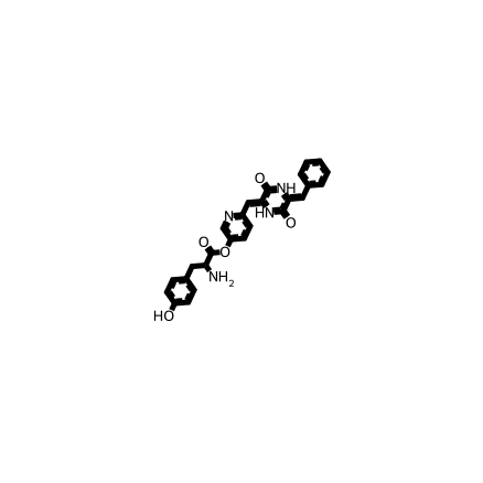 NC(Cc1ccc(O)cc1)C(=O)Oc1ccc(/C=c2\[nH]c(=O)/c(=C/c3ccccc3)[nH]c2=O)nc1